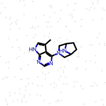 Cc1c[nH]c2ncnc(N3CC4CCC(C3)N4)c12